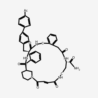 CC(=O)c1ccc(-c2ccc(C[C@@H]3NC(=O)[C@]4(Cc5ccccc5)CCCN(C4)C(=O)/C=C/C(=O)NCC[C@@H](C(N)=O)NC(=O)Cc4ccccc4CNC3=O)cc2)cc1